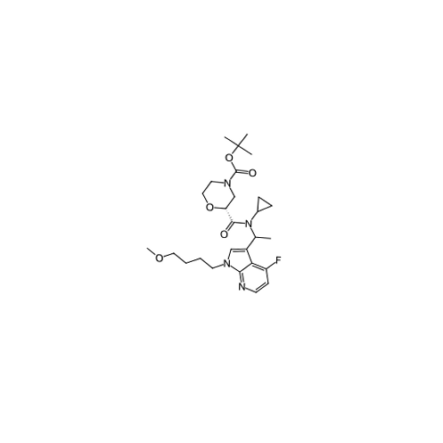 COCCCCn1cc(C(C)N(C(=O)[C@H]2CN(C(=O)OC(C)(C)C)CCO2)C2CC2)c2c(F)ccnc21